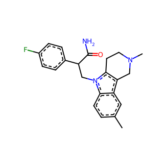 Cc1ccc2c(c1)c1c(n2CC(C(N)=O)c2ccc(F)cc2)CCN(C)C1